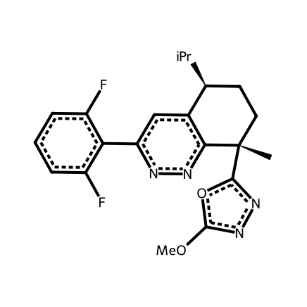 COc1nnc([C@@]2(C)CC[C@H](C(C)C)c3cc(-c4c(F)cccc4F)nnc32)o1